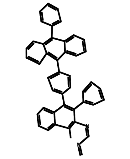 C=N/C=N\c1c(-c2ccccc2)c(-c2ccc(-c3c4ccccc4c(-c4ccccc4)c4ccccc34)cc2)c2ccccc2c1C